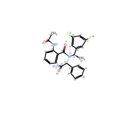 CC(=O)Nc1ccccc1C(=O)N([C@H](C)c1cc(F)cc(F)c1)[C@@H](C(N)=O)c1ccccc1